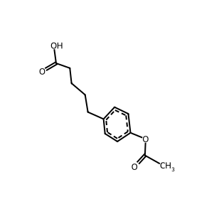 CC(=O)Oc1ccc(CCCCC(=O)O)cc1